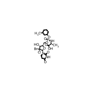 Cc1cccc(OP(=O)(N[C@@H](C)C(=O)O)OC[C@H]2O[C@@H](n3ccc(=O)[nH]c3=O)[C@](Cl)(Br)[C@@H]2O)c1